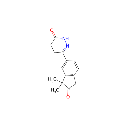 CC1(C)C(=O)Cc2ccc(C3=NNC(=O)CC3)cc21